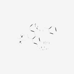 COc1cc(C(C)CS(C)(=O)=O)c(-c2cccnc2OCc2ccccc2)cc1C(C)(C)C